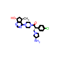 C[C@@H]1C[C@@H](O)c2ncnc(N3CCN(C(=O)[C@@H](CN4CC[C@@H](N)C4)c4ccc(Cl)cc4)CC3)c21